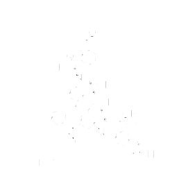 CN(CCCC(=O)O)C(=O)c1ccccc1-c1c2cc/c(=N/Cc3ccc(S(=O)(=O)O)cc3S(=O)(=O)O)c(S(=O)(=O)O)c-2oc2c(S(=O)(=O)O)c(NCc3ccc(S(=O)(=O)O)cc3S(=O)(=O)O)ccc12